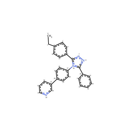 CCc1ccc(-c2nnc(-c3ccccc3)n2-c2ccc(-c3cccnc3)cc2)cc1